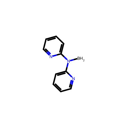 BN(c1ccccn1)c1ccccn1